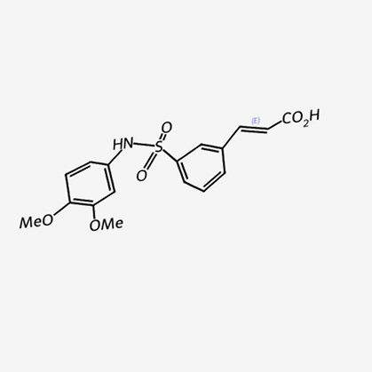 COc1ccc(NS(=O)(=O)c2cccc(/C=C/C(=O)O)c2)cc1OC